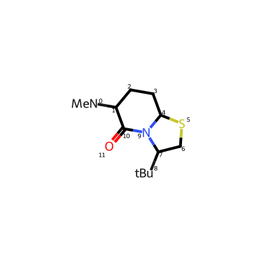 CNC1CCC2SCC(C(C)(C)C)N2C1=O